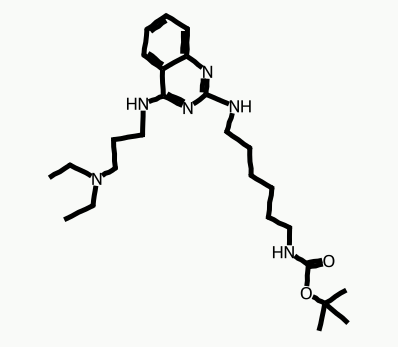 CCN(CC)CCCNc1nc(NCCCCCCNC(=O)OC(C)(C)C)nc2ccccc12